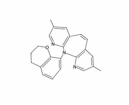 Cc1cnc2c(c1)C=Cc1cc(C)cnc1N2c1cccc2c1OCCC2